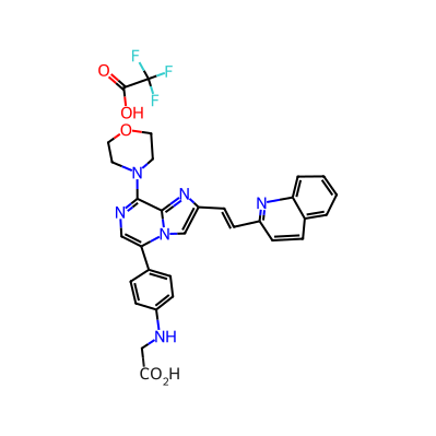 O=C(O)C(F)(F)F.O=C(O)CNc1ccc(-c2cnc(N3CCOCC3)c3nc(C=Cc4ccc5ccccc5n4)cn23)cc1